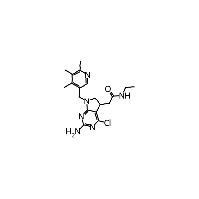 CCNC(=O)CC1CN(Cc2cnc(C)c(C)c2C)c2nc(N)nc(Cl)c21